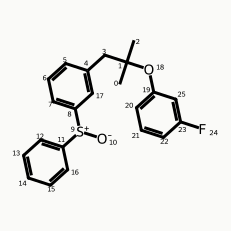 CC(C)(Cc1cccc([S+]([O-])c2ccccc2)c1)Oc1cccc(F)c1